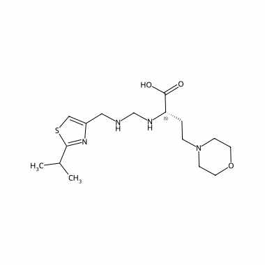 CC(C)c1nc(CNCN[C@@H](CCN2CCOCC2)C(=O)O)cs1